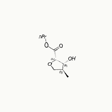 CCCOC(=O)[C@H]1OC[C@H](C)[C@H]1O